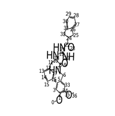 COc1ccc(CNC(=O)[C@@H](Cc2ccccc2)NC(=N)NC(=O)C2Cc3ccccc3C2)cc1OC